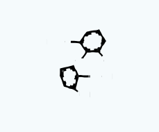 Cc1ccccc1C(=O)O.O=C(O)c1cccc(Cl)c1Cl